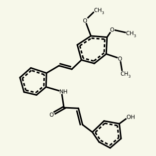 COc1cc(C=Cc2ccccc2NC(=O)/C=C/c2cccc(O)c2)cc(OC)c1OC